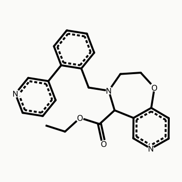 CCOC(=O)C1c2cnccc2OCCN1Cc1ccccc1-c1cccnc1